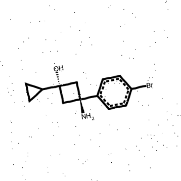 N[C@]1(c2ccc(Br)cc2)C[C@](O)(C2CC2)C1